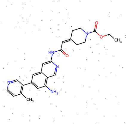 CCOC(=O)N1CCC(=CC(=O)Nc2cc3cc(-c4cnccc4C)cc(N)c3cn2)CC1